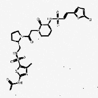 CC(=O)Nc1nc(C)c(S(=O)(=O)NC[C@H]2CCCN2C(=O)CN2CCC[C@H](NS(=O)(=O)/C=C/c3ccc(Cl)s3)C2=O)s1